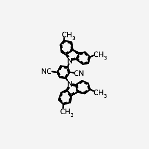 Cc1ccc2c(c1)c1cc(C)ccc1n2-c1cc(C#N)cc(-n2c3ccc(C)cc3c3cc(C)ccc32)c1C#N